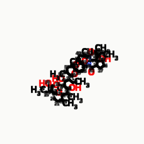 CCC(C(O)[C@@H](C)[C@@H](O)[C@H](C)[C@@H]1O[C@@H]([C@@H](CC)C(=O)O)CC[C@@H]1C)[C@H]1O[C@]2(C=C[C@@H](NC(=O)C3CCCC3)[C@]3(CC[C@@](C)([C@H]4CC[C@](O)(CC)[C@H](C)O4)O3)O2)[C@H](C)C[C@@H]1C